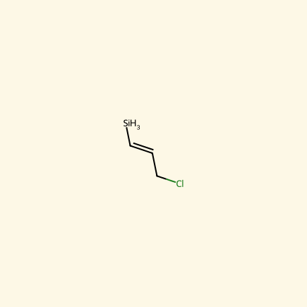 [SiH3]C=CCCl